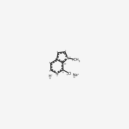 Cn1ccc2ccnc(Cl)c21.[H-].[Na+]